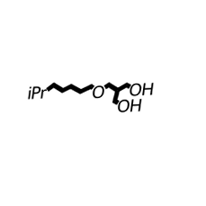 CC(C)CCCCCOCC(CO)CO